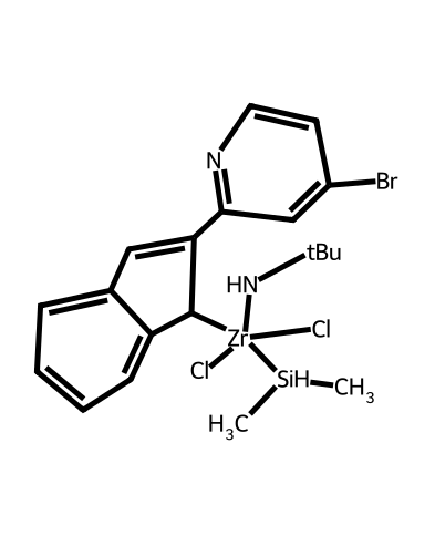 C[SiH](C)[Zr]([Cl])([Cl])([NH]C(C)(C)C)[CH]1C(c2cc(Br)ccn2)=Cc2ccccc21